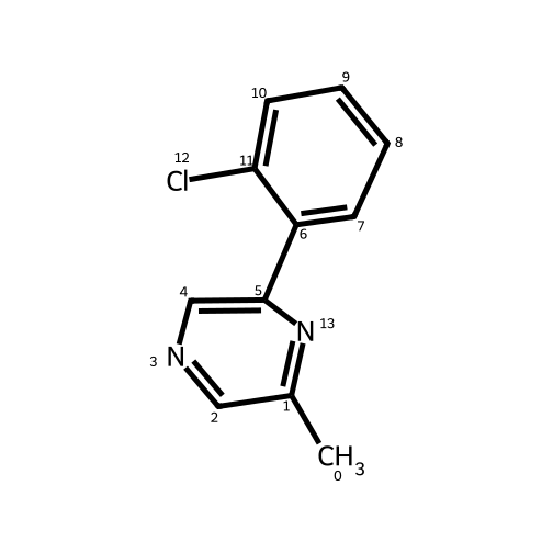 Cc1cncc(-c2ccccc2Cl)n1